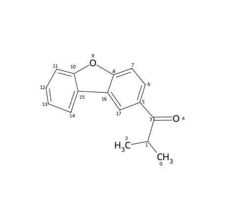 CC(C)C(=O)c1ccc2oc3ccccc3c2c1